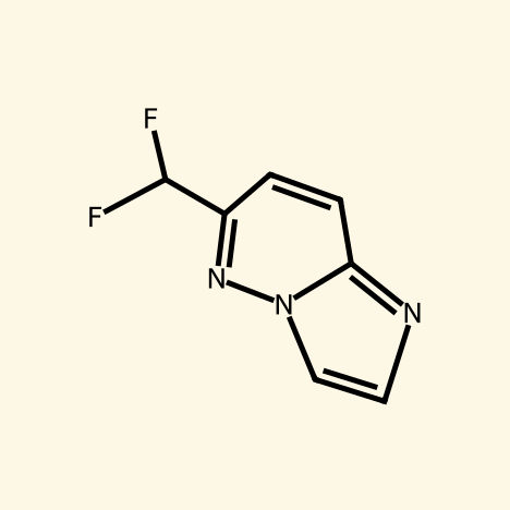 FC(F)c1ccc2nccn2n1